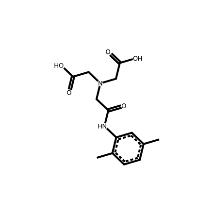 Cc1ccc(C)c(NC(=O)CN(CC(=O)O)CC(=O)O)c1